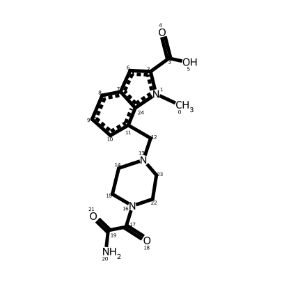 Cn1c(C(=O)O)cc2cccc(CN3CCN(C(=O)C(N)=O)CC3)c21